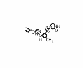 Cc1cc(Nc2nccc(OCC3CCOC3)n2)cc(-c2cnc(N3CCCNC(=O)C3)s2)c1